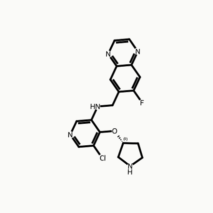 Fc1cc2nccnc2cc1CNc1cncc(Cl)c1O[C@@H]1CCNC1